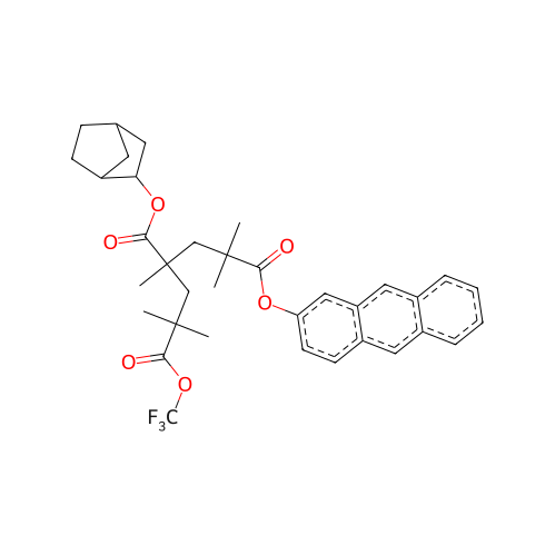 CC(C)(CC(C)(CC(C)(C)C(=O)OC(F)(F)F)C(=O)OC1CC2CCC1C2)C(=O)Oc1ccc2cc3ccccc3cc2c1